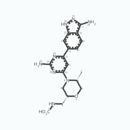 C[C@@H]1CO[C@H](CNC(=O)O)CN1c1cc(-c2ccc3c(N)n[nH]c3c2)nc(N)n1